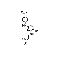 CCOC(=O)CCNc1nc(Nc2ccc(C(C)=O)cc2)ncc1Br